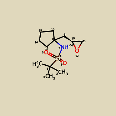 CC(C)(C)S(=O)(=O)NC1(C[C@H]2CO2)CCCC1